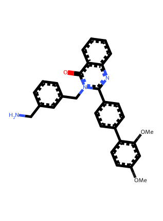 COc1ccc(-c2ccc(-c3nc4ccccc4c(=O)n3Cc3cccc(CN)c3)cc2)c(OC)c1